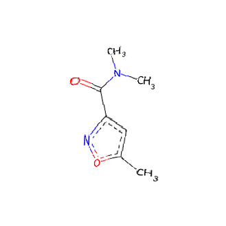 Cc1cc(C(=O)N(C)C)no1